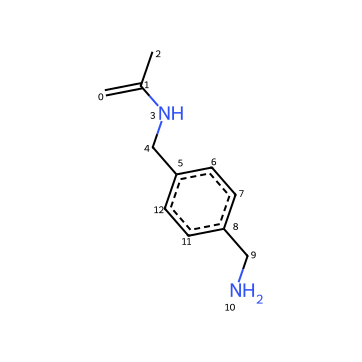 C=C(C)NCc1ccc(CN)cc1